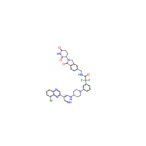 N=C/C(=C\NC1CCN(c2cccc(C(F)(F)C(=O)NCc3ccc4c(c3)CN(C3CCC(=O)NC3=O)C4=O)c2)CC1)c1cnc2cccc(Br)c2n1